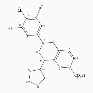 CCOC(=O)c1cc2c(cn1)CN(c1cc(F)c(Cl)c(F)c1)CC2C1CCCC1